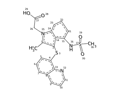 Cc1c(Sc2cccc3cccnc23)c2c(NS(C)(=O)=O)cccc2n1CC(=O)O